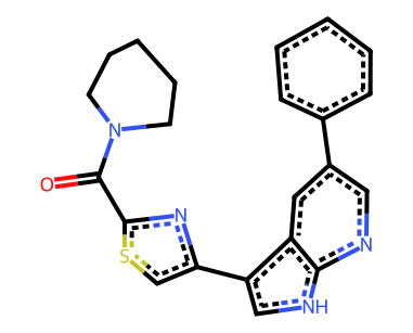 O=C(c1nc(-c2c[nH]c3ncc(-c4ccccc4)cc23)cs1)N1CCCCC1